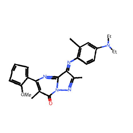 CCN(CC)c1ccc(N=C2C(C)=Nn3c2nc(-c2ccccc2OC)c(C)c3=O)c(C)c1